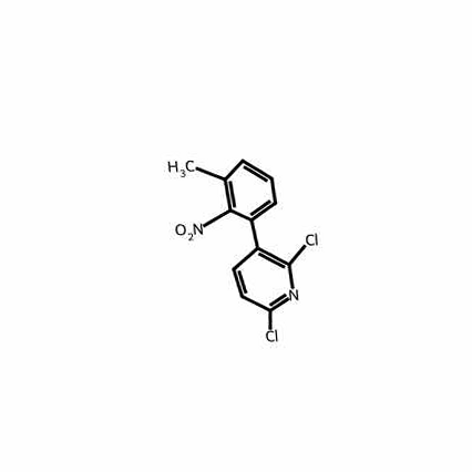 Cc1cccc(-c2ccc(Cl)nc2Cl)c1[N+](=O)[O-]